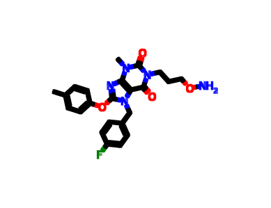 Cc1ccc(Oc2nc3c(c(=O)n(CCCON)c(=O)n3C)n2Cc2ccc(F)cc2)cc1